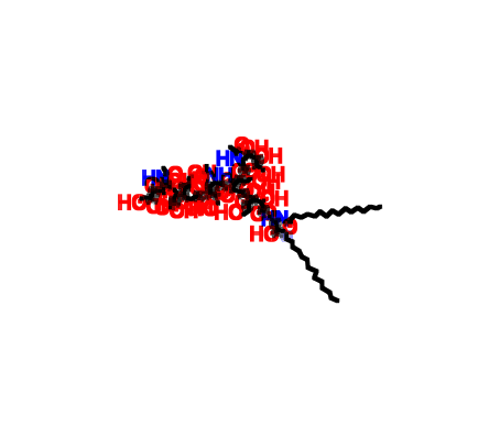 CCCCCCCCCCCCC/C=C/[C@@H](O)[C@H](CO[C@@H]1OC(CO)[C@@H](O[C@@H]2OC(CO)[C@H](O[C@@H]3OC(CO)[C@H](O)[C@H](O)C3NC(C)=O)[C@H](O[C@@H]3OC(CO)[C@@H](O[C@@H]4OC(CO)[C@H](O)[C@H](O[C@]5(C(=O)O)CC(O)[C@@H](NC(C)=O)C([C@H](O)[C@H](O)CO)O5)C4O)[C@H](O)C3NC(C)=O)C2O)[C@H](O)C1O)NC(=O)CCCCCCCCCCCCCCC